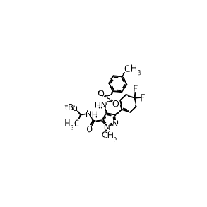 Cc1ccc(S(=O)(=O)Nc2c(C3=CCC(F)(F)CC3)nn(C)c2C(=O)NC(C)C(C)(C)C)cc1